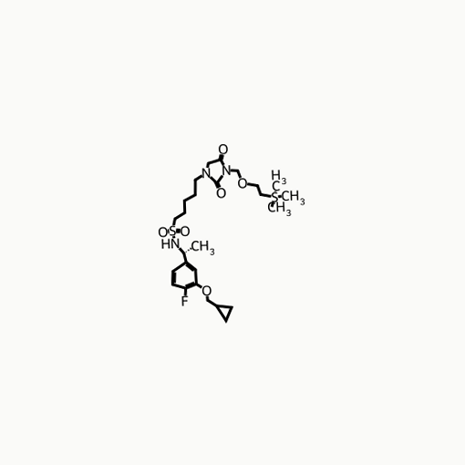 C[C@@H](NS(=O)(=O)CCCCCN1CC(=O)N(COCCS(C)(C)C)C1=O)c1ccc(F)c(OCC2CC2)c1